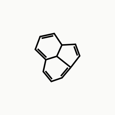 C1=CC2=CC=CC3C=CC(=C1)C23